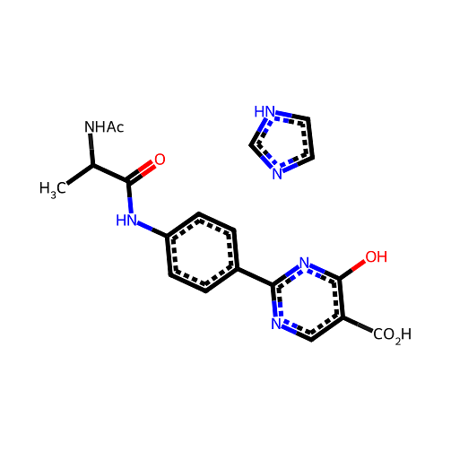 CC(=O)NC(C)C(=O)Nc1ccc(-c2ncc(C(=O)O)c(O)n2)cc1.c1c[nH]cn1